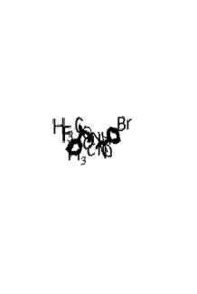 Cc1noc(-c2ccc(Br)cc2)c1NC(=O)OC(C)c1ccccc1F